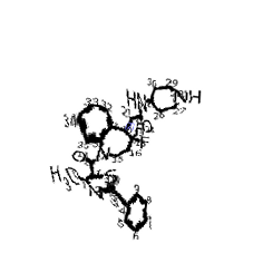 Cc1nc(-c2ccccc2)sc1C(=O)N1CCC(F)(F)/C(=C\C(=O)NC2CCNCC2)c2ccccc21